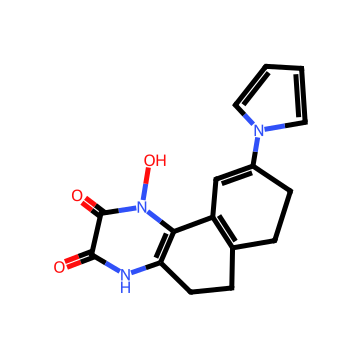 O=c1[nH]c2c(n(O)c1=O)C1=C(CCC(n3cccc3)=C1)CC2